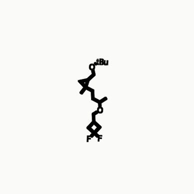 CC(CCC1(C)CC1COC(C)(C)C)OCC1CC(F)(F)C1